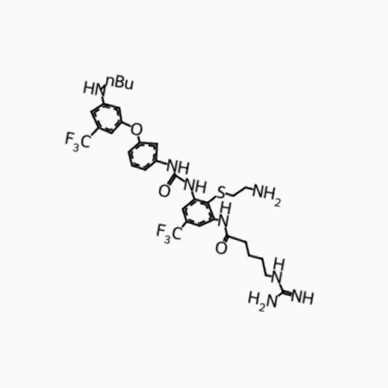 CCCCNc1cc(Oc2cccc(NC(=O)Nc3cc(C(F)(F)F)cc(NC(=O)CCCCNC(=N)N)c3SCCN)c2)cc(C(F)(F)F)c1